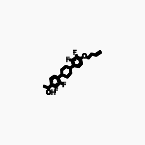 C=CCCOc1ccc(C2CCC(c3ccc(C(C)O)c(F)c3F)CC2)c(F)c1F